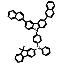 CC1(C)c2ccccc2-c2ccc(N(c3ccccc3)c3ccc(-n4c5ccc(-c6ccc7ccccc7c6)cc5c5cc(-c6ccc7ccccc7c6)ccc54)cc3)cc21